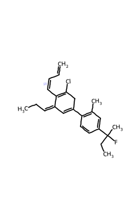 C=C/C=C\C1=C(Cl)CC(c2ccc(C(C)(F)CC)cc2C)=CC1=CCC